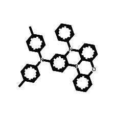 Cc1ccc(N(c2ccc(C)cc2)c2ccc3c(c2)N(c2ccccc2)c2cccc4c2B3c2ccccc2O4)cc1